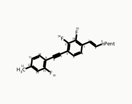 CCCCCC=Cc1ccc(C#Cc2ccc(C)cc2F)c(F)c1F